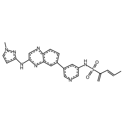 C=C(C=CC)S(=O)(=O)Nc1cncc(-c2ccc3ncc(Nc4ccn(C)n4)nc3c2)c1